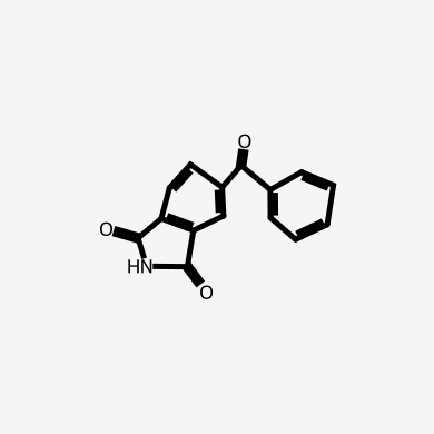 O=C(c1ccccc1)c1ccc2c(c1)C(=O)NC2=O